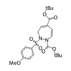 COc1ccc(S(=O)(=O)N2CC=C(C(=O)OC(C)(C)C)C=CN2C(=O)OC(C)(C)C)cc1